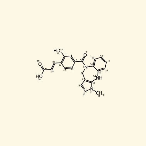 Cc1cc(C(=O)N2Cc3cnn(C)c3Nc3ccccc32)ccc1/C=C/C(=O)O